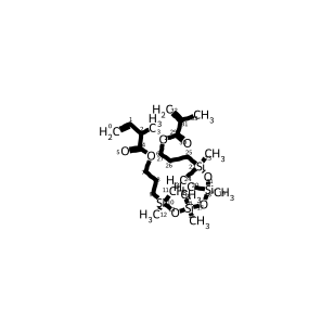 C=CC(C)C(=O)OCCC[Si](C)(C)O[Si](C)(C)O[Si](C)(C)O[Si](C)(C)CCCOC(=O)C(=C)C